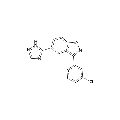 Clc1cccc(-c2n[nH]c3ccc(-c4ncn[nH]4)cc23)c1